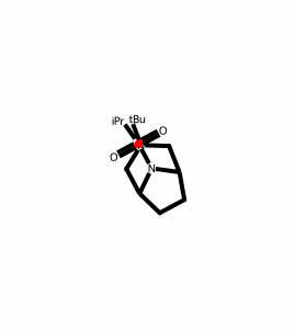 CC(C)S(=O)(=O)N1C2CCC1CN(C(C)(C)C)C2